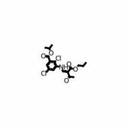 CCCOC(=O)C(=CNc1cc(Cl)cc(C(=O)OC(C)C)c1Cl)C(C)=O